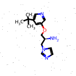 CC(C)(C)c1cncc(OC[C@@H](N)Cn2ccnc2)c1